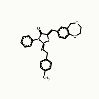 Cc1ccc(C/N=C2\S/C(=C\c3ccc4c(c3)COCCO4)C(=O)N2c2ccccc2)cc1